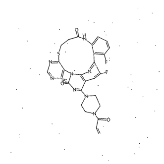 C=CC(=O)N1CCN(c2nc(=O)n3c4nc(c(F)cc24)-c2c(F)cccc2NC(=O)CCSc2ncnc(C(C)C)c2-3)CC1